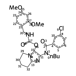 CCCCN(C(=O)c1cccc(Cl)c1)c1nc2n(c1OC(=O)NCc1ccc(OC)cc1OC)CCCC2